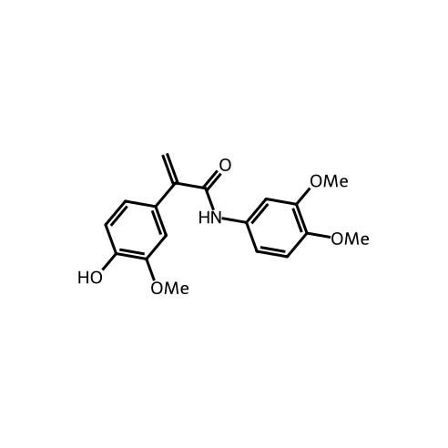 C=C(C(=O)Nc1ccc(OC)c(OC)c1)c1ccc(O)c(OC)c1